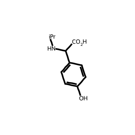 CC(C)NC(C(=O)O)c1ccc(O)cc1